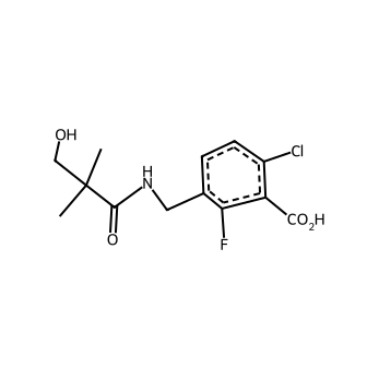 CC(C)(CO)C(=O)NCc1ccc(Cl)c(C(=O)O)c1F